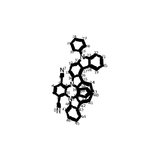 N#Cc1ccc(C#N)c(-n2c3ccccc3c3c4c5ccccc5n(-c5ccccc5)c4ccc32)c1-n1c2ccccc2c2ccccc21